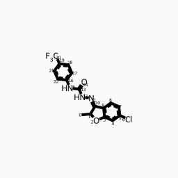 CC1Oc2cc(Cl)ccc2/C1=N/NC(=O)Nc1ccc(C(F)(F)F)cc1